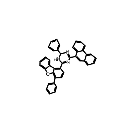 c1ccc(-c2ccc(C3=NC(c4cc5ccccc5c5ccccc45)=NC(c4ccccc4)N3)c3c2oc2ccccc23)cc1